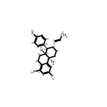 C/C=C/[C@@H]1CC[C@H]2c3cc(F)cc(F)c3CC[C@@H]2[C@H]1c1ccc(F)cc1